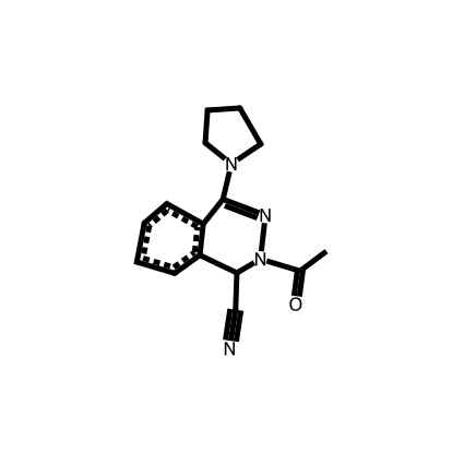 CC(=O)N1N=C(N2CCCC2)c2ccccc2C1C#N